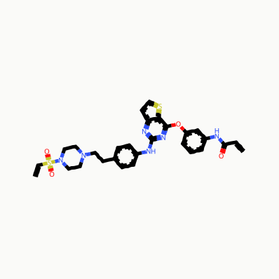 C=CC(=O)Nc1cccc(Oc2nc(Nc3ccc(CCN4CCN(S(=O)(=O)C=C)CC4)cc3)nc3ccsc23)c1